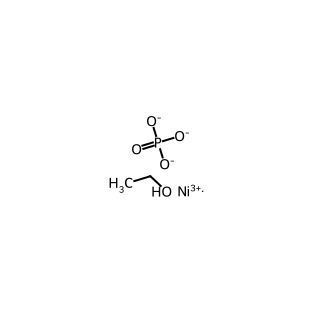 CCO.O=P([O-])([O-])[O-].[Ni+3]